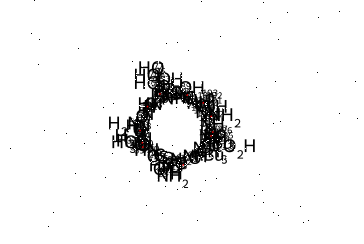 CCCC[C@H]1C(=O)N(C)[C@@H](CCCC)C(=O)N[C@@H](CC(C)C)C(=O)N[C@H](C(=O)NCC(N)=O)CSCC(=O)N[C@@H](Cc2ccc(O)cc2)C(=O)N(C)[C@@H](C)C(=O)N[C@@H](CC(N)=O)C(=O)N2CCC[C@H]2C(=O)N[C@@H](CNC[C@@H](O)[C@@H](O)[C@H](O)[C@H](O)CO)C(=O)N[C@@H](CC(C)C)C(=O)N2C[C@H](O)C[C@H]2C(=O)N[C@@H](Cc2c[nH]c3ccccc23)C(=O)N[C@@H](CCN)C(=O)N[C@@H](Cc2cn(CC(=O)O)c3ccccc23)C(=O)N1C